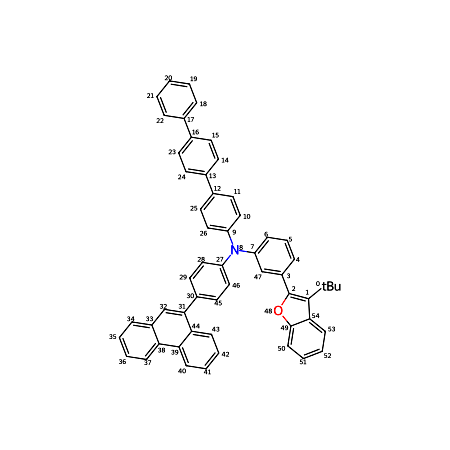 CC(C)(C)c1c(-c2cccc(N(c3ccc(-c4ccc(-c5ccccc5)cc4)cc3)c3ccc(-c4cc5ccccc5c5ccccc45)cc3)c2)oc2ccccc12